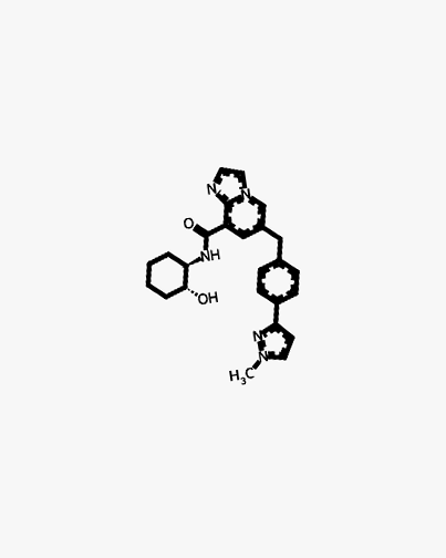 Cn1ccc(-c2ccc(Cc3cc(C(=O)N[C@@H]4CCCC[C@H]4O)c4nccn4c3)cc2)n1